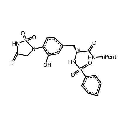 CCCCCNC(=O)[C@H](Cc1ccc(N2CC(=O)NS2(=O)=O)c(O)c1)NS(=O)(=O)c1ccccc1